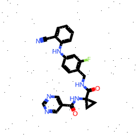 N#Cc1ccccc1Nc1ccc(CNC(=O)C2(NC(=O)c3cncnc3)CC2)c(F)c1